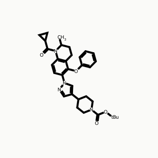 CC1CCc2c(ccc(-n3cc(C4CCN(C(=O)OC(C)(C)C)CC4)cn3)c2Oc2ccccc2)N1C(=O)C1CC1